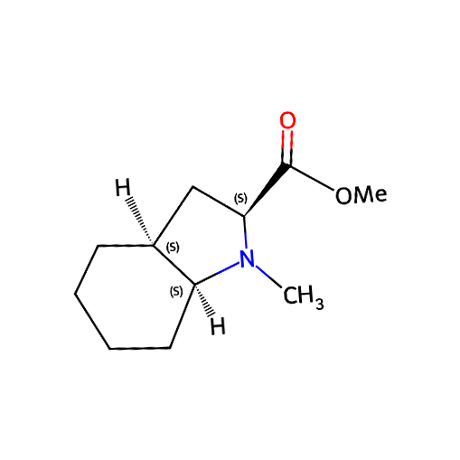 COC(=O)[C@@H]1C[C@@H]2CCCC[C@@H]2N1C